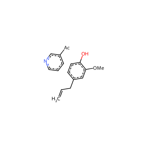 C=CCc1ccc(O)c(OC)c1.CC(=O)c1cccnc1